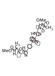 COC(=O)N[C@@H](C)C(=O)N1CCCC1c1ncc(-c2ccc(-c3ccc(-c4cnc(C5CCCN5C(=O)[C@@H](C)NC(=O)OC)[nH]4)cc3)c3c2C2CCC3N2c2ccccc2)[nH]1